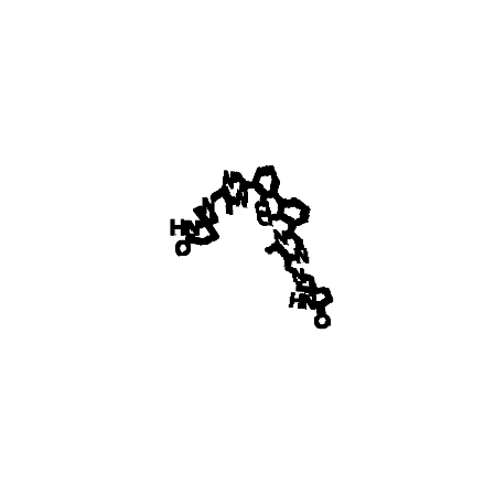 Cc1nc(-c2cccc(-c3cccc(-c4cnc(CN5CC6(CCC(=O)N6)C5)c(C)n4)c3Cl)c2Cl)cnc1CN1CC2(CCC(=O)N2)C1